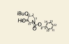 CC(C)COC1CCN(C(=O)OCc2ccccc2)CC1O